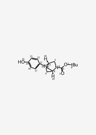 CC(C)(C)OC(=O)N1C[C@@H]2C[C@H]1CN2c1ccc(O)cc1